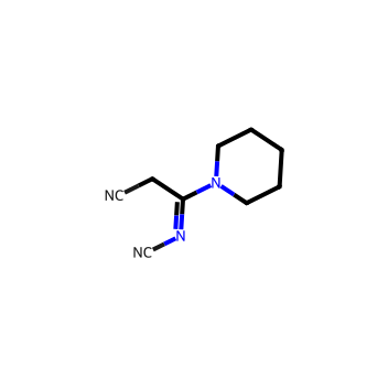 N#CCC(=NC#N)N1CCCCC1